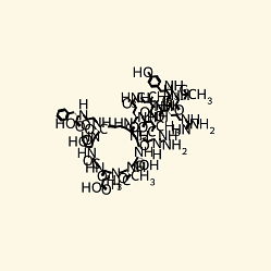 CCC(C)[C@@H](NC(=O)[C@@H](CCCNC(=N)N)NC(=O)[C@@H](CC(C)C)NC(=O)[C@@H](N)Cc1ccc(O)cc1)C(=O)N[C@@H](C(=O)N[C@H](CCC(N)=O)CN[C@@H]1C/C=C/C[C@@H](C(=O)NCC(=O)N[C@@H](Cc2ccccc2)C(=O)O)NC(=O)C(CO)NC(=O)CNC(=O)[C@H](CCC(=O)O)NC(=O)[C@@H](C(C)C)NC(=O)[C@@H](CO)NC(=O)[C@@H](CCCNC(=N)N)NC1=O)C(C)C